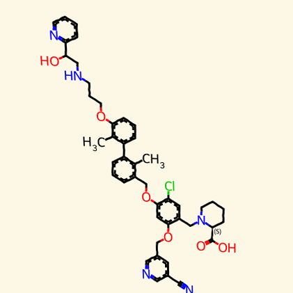 Cc1c(COc2cc(OCc3cncc(C#N)c3)c(CN3CCCC[C@H]3C(=O)O)cc2Cl)cccc1-c1cccc(OCCCNCC(O)c2ccccn2)c1C